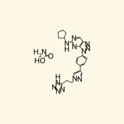 NC(=O)O.c1cc(-n2nnc3cnc(NC4CCCC4)nc32)ccc1-c1cnn(CCc2nnn[nH]2)c1